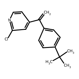 C=C(c1ccc(C(C)(C)C)cc1)c1ccnc(Cl)c1